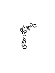 CC1CN([C@H]2CC[C@@H](c3cc(-c4ccc(Oc5ccccc5)cc4)c4c(N)ncnn43)CC2)CCN1C(=O)OC(C)(C)C